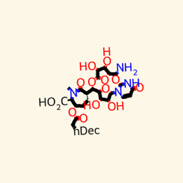 CCCCCCCCCCCC(=O)O[C@H]1CC[C@@H]([C@H](OC2OC(CN)C(O)C2O)C2OC(n3ccc(=O)[nH]c3=O)C(O)C2O)C(=O)N(C)[C@@H]1C(=O)O